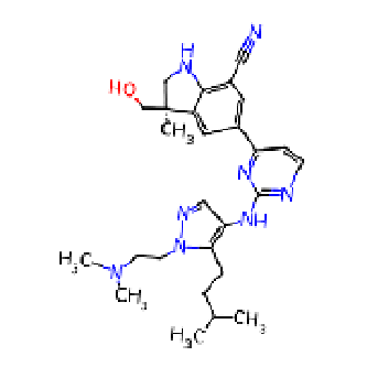 CC(C)CCc1c(Nc2nccc(-c3cc(C#N)c4c(c3)[C@@](C)(CO)CN4)n2)cnn1CCN(C)C